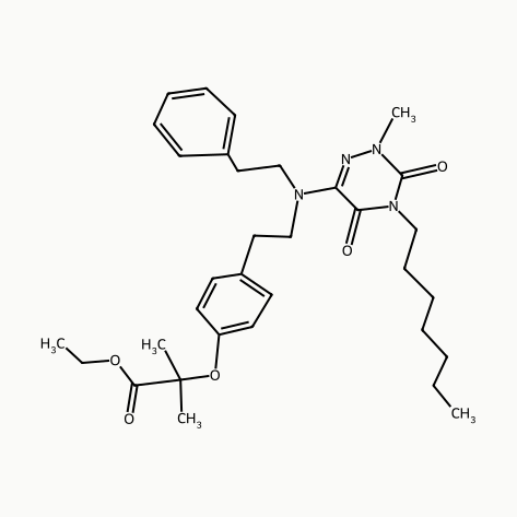 CCCCCCCn1c(=O)c(N(CCc2ccccc2)CCc2ccc(OC(C)(C)C(=O)OCC)cc2)nn(C)c1=O